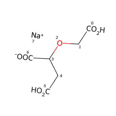 O=C(O)COC(CC(=O)O)C(=O)[O-].[Na+]